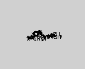 CC1(O)CC2(CN(c3cc(-n4ncc5ccc(C6(C#N)CC7(CC7)C6)cc54)ncn3)C2)C1